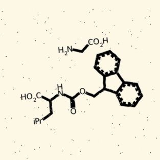 CC(C)CC(NC(=O)OCC1c2ccccc2-c2ccccc21)C(=O)O.NCC(=O)O